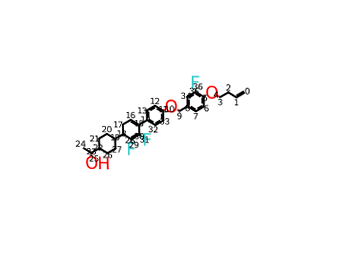 C=CCCOc1ccc(COc2ccc(C3=CCC(C4CCC(C(C)O)CC4)C(F)=C3F)cc2)cc1F